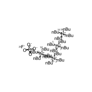 CCCC[N+](CCCC)(CCCC)CCCC.CCCC[N+](CCCC)(CCCC)CCCC.CCCC[N+](CCCC)(CCCC)CCCC.CCCC[N+](CCCC)(CCCC)CCCC.O=P([O-])([O-])[O-].[F-]